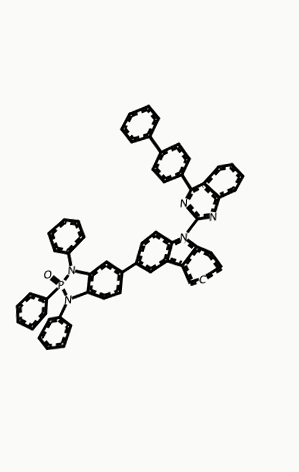 O=P1(c2ccccc2)N(c2ccccc2)c2ccc(-c3ccc4c(c3)c3ccccc3n4-c3nc(-c4ccc(-c5ccccc5)cc4)c4ccccc4n3)cc2N1c1ccccc1